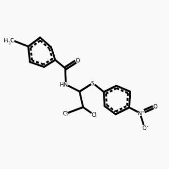 Cc1ccc(C(=O)NC(Sc2ccc([N+](=O)[O-])cc2)C(Cl)Cl)cc1